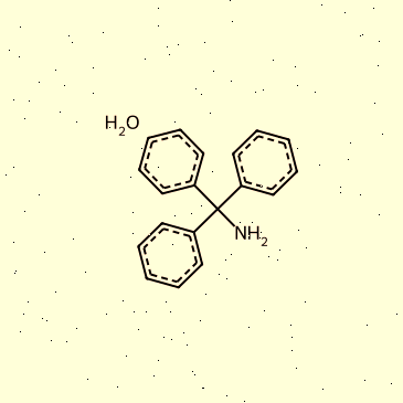 NC(c1ccccc1)(c1ccccc1)c1ccccc1.O